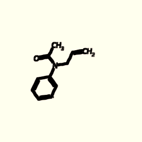 C=CCN(C(C)=O)c1c[c]ccc1